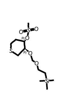 C[Si](C)(C)CCOCO[C@H]1CSCC[C@H]1OS(C)(=O)=O